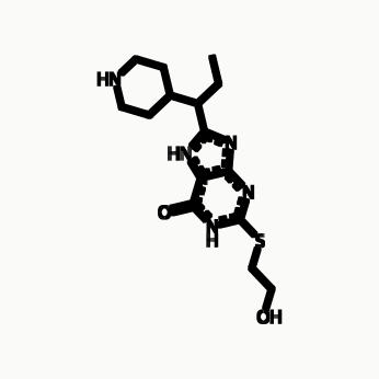 CCC(c1nc2nc(SCCO)[nH]c(=O)c2[nH]1)C1CCNCC1